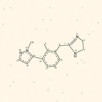 Cc1c(CC2=NCCN2)cccc1-c1ccnn1C